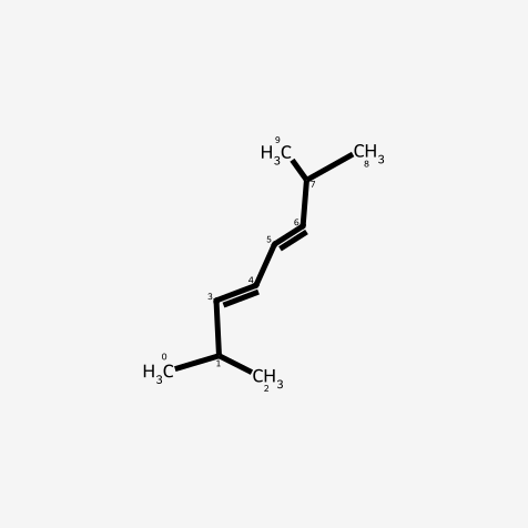 CC(C)/C=C/C=C/C(C)C